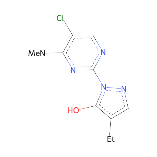 CCc1cnn(-c2ncc(Cl)c(NC)n2)c1O